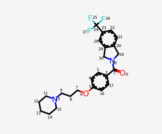 O=C(c1ccc(OCCCN2CCCCC2)cc1)N1Cc2ccc(C(F)(F)F)cc2C1